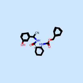 N#CC(NC(=O)[C@H]1CCCC[C@H]1NC(=O)OCc1ccccc1)c1cccc(O)c1